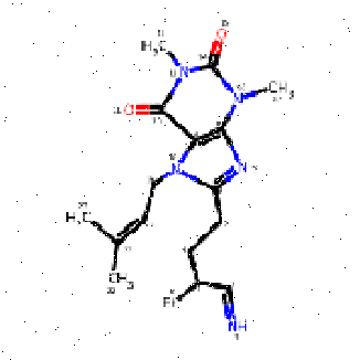 CCC(C=N)CCc1nc2c(c(=O)n(C)c(=O)n2C)n1CC=C(C)C